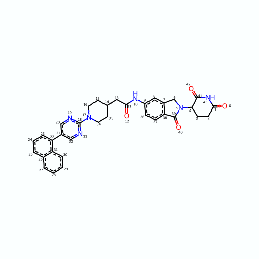 O=C1CCC(N2Cc3cc(NC(=O)CC4CCN(c5ncc(-c6cccc7ccccc67)cn5)CC4)ccc3C2=O)C(=O)N1